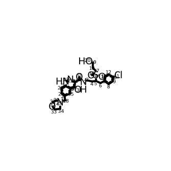 O=C(NCCC(Cc1ccc(Cl)cc1)S(=O)(=O)CCCO)c1n[nH]c2ccc(CN3CCOCC3)cc2c1=O